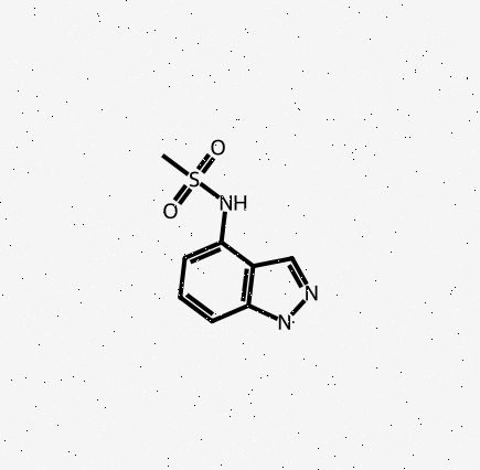 CS(=O)(=O)Nc1cccc2c1C=N[N]2